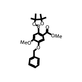 COC(=O)c1cc(OCc2ccccc2)c(OC)cc1B1OC(C)(C)C(C)(C)O1